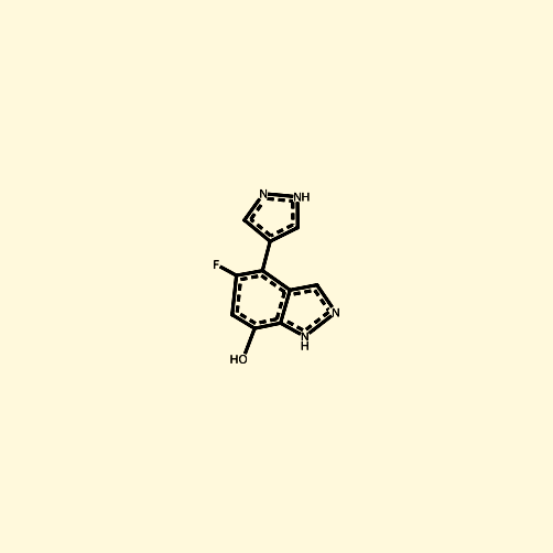 Oc1cc(F)c(-c2cn[nH]c2)c2cn[nH]c12